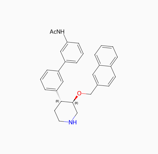 CC(=O)Nc1cccc(-c2cccc([C@H]3CCNC[C@@H]3OCc3ccc4ccccc4c3)c2)c1